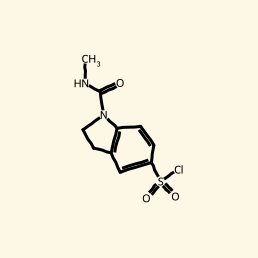 CNC(=O)N1CCc2cc(S(=O)(=O)Cl)ccc21